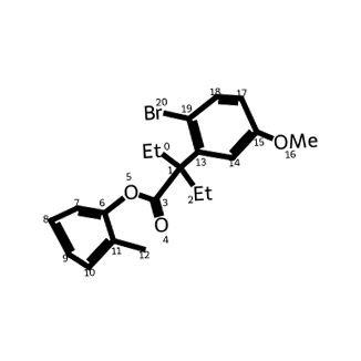 CCC(CC)(C(=O)Oc1ccccc1C)c1cc(OC)ccc1Br